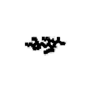 Cc1cc(NC(C)C)nc(NC(C)C)c1N=Nc1snc(C)c1C#N